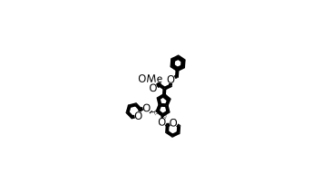 COC(=O)C(COCc1ccccc1)C1=CC2C[C@@H](OC3CCCCO3)[C@H](COC3CCCCO3)C2C1